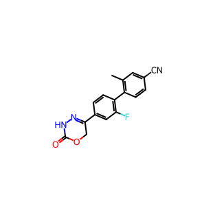 Cc1cc(C#N)ccc1-c1ccc(C2=NNC(=O)OC2)cc1F